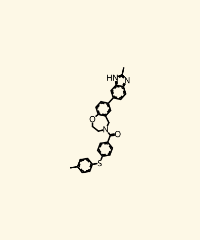 Cc1ccc(Sc2ccc(C(=O)N3CCOc4ccc(-c5ccc6nc(C)[nH]c6c5)cc4C3)cc2)cc1